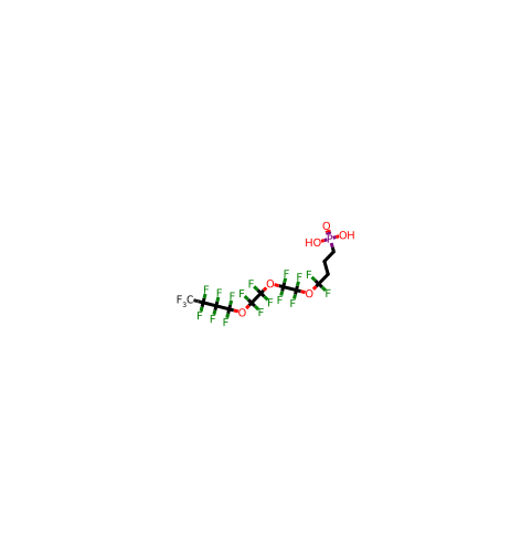 O=P(O)(O)CCCC(F)(F)OC(F)(F)C(F)(F)OC(F)(F)C(F)(F)OC(F)(F)C(F)(F)C(F)(F)C(F)(F)F